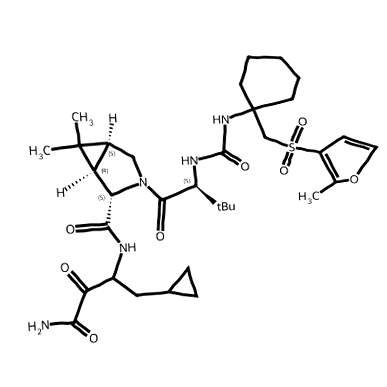 Cc1occc1S(=O)(=O)CC1(NC(=O)N[C@H](C(=O)N2C[C@H]3[C@@H]([C@H]2C(=O)NC(CC2CC2)C(=O)C(N)=O)C3(C)C)C(C)(C)C)CCCCC1